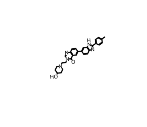 Cc1ccc(-c2nc3ccc(-c4ccc5ncn(CCN6CCC(O)CC6)c(=O)c5c4)cc3[nH]2)cc1